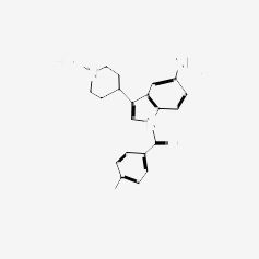 CN1CCC(c2cn(C(=O)c3ccc(F)cc3)c3ccc(N)cc23)CC1